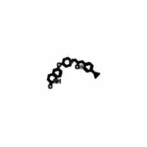 O=C1CCc2cc(OC3CCN(CC(O)Cc4ccc(C5CC5)cc4)CC3)ccc2N1